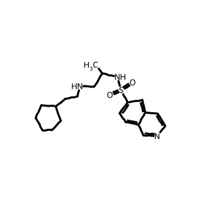 CC(CNCCC1CCCCC1)NS(=O)(=O)c1ccc2cnccc2c1